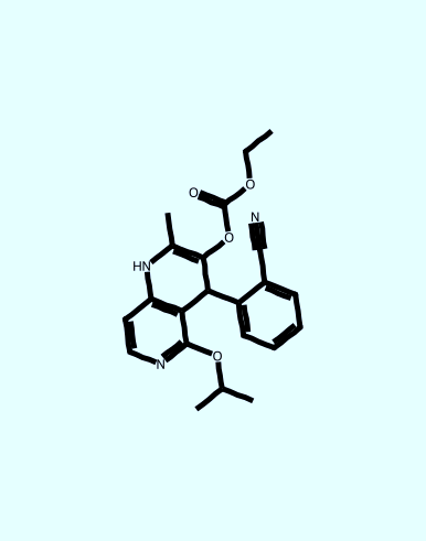 CCOC(=O)OC1=C(C)Nc2ccnc(OC(C)C)c2C1c1ccccc1C#N